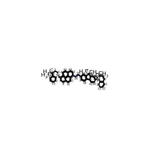 CC1(C)CCN(c2ccc3ccc4c(/C=C/c5ccc6c(c5)C(C)(C)C5C=C(N7C8=C(C=CCC8)C=CC7(C)C)C=CC65)ccc5ccc2c3c54)c2ccccc21